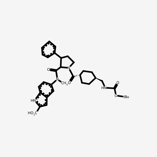 CN(C(=O)C1C(c2ccccc2)CCN1C(=O)[C@H]1CC[C@H](CNC(=O)OC(C)(C)C)CC1)c1ccc2[nH]c(C(=O)O)cc2c1